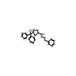 N#CC(c1ccccc1)(c1ccccc1)C1CCC(NCCCc2ccccc2)C1